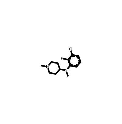 CN1CCC(N(C)c2cccc(Cl)c2F)CC1